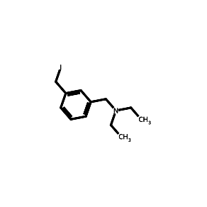 CCN(CC)Cc1cccc(CI)c1